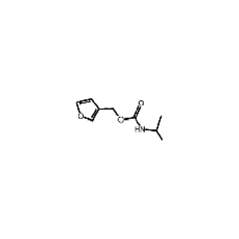 CC(C)NC(=O)OCc1ccoc1